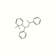 CC(CC(c1ccccc1)C1C=CC=CC1(C)C)c1ccccc1